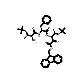 C[C@@H](OC(C)(C)C)[C@H](N)C(=O)N[C@@H](Cc1ccccc1)C(=O)N[C@H](C(=O)C(=O)OCC1c2ccccc2-c2ccccc21)[C@@H](C)OC(C)(C)C